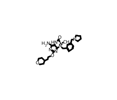 CN1C(=O)Nc2c(N)nc(OCCC3CCOCC3)nc2N1Cc1cccc(CN2CCCC2)c1